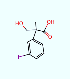 CC(CO)(C(=O)O)c1cccc(I)c1